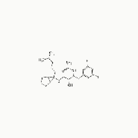 CC(=O)NC(Cc1cc(F)cc(F)c1)C(O)CNC1(CCCC(C)C)C2CCCC21